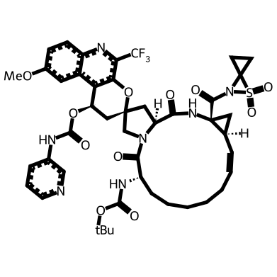 COc1ccc2nc(C(F)(F)F)c3c(c2c1)[C@H](OC(=O)Nc1cccnc1)C[C@]1(C[C@H]2C(=O)N[C@]4(C(=O)N5C6(CC6)S5(=O)=O)C[C@H]4/C=C\CCCCC[C@H](NC(=O)OC(C)(C)C)C(=O)N2C1)O3